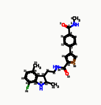 CNC(=O)c1ccc(-c2csc(C(=O)NCCC3c4c(C)ccc(F)c4NC3C)c2)cc1